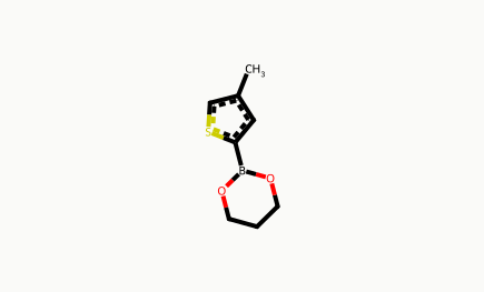 Cc1csc(B2OCCCO2)c1